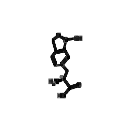 N[C@@H](Cc1ccc2c(c1)B(O)OC2)C(=O)O